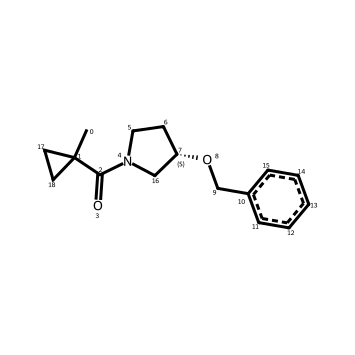 CC1(C(=O)N2CC[C@H](OCc3ccccc3)C2)CC1